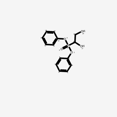 O=P(Oc1ccccc1)(Oc1ccccc1)C(O)CO